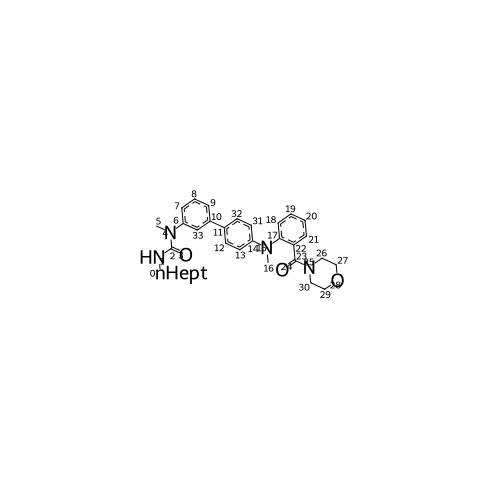 CCCCCCCNC(=O)N(C)c1cccc(-c2ccc(N(C)c3ccccc3C(=O)N3CCOCC3)cc2)c1